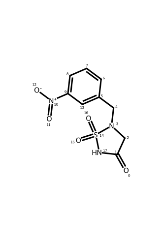 O=C1CN(Cc2cccc([N+](=O)[O-])c2)S(=O)(=O)N1